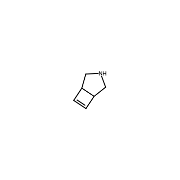 C1=CC2CNCC12